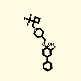 OC1(OCC2CCN(CC3(C(F)(F)F)CCC3)CC2)C=CC(c2ccccc2)C=C1F